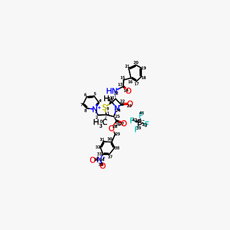 C[C@]1(C[n+]2ccccc2)S[C@@H]2[C@H](NC(=O)Cc3ccccc3)C(=O)N2[C@H]1C(=O)OCc1ccc([N+](=O)[O-])cc1.F[B-](F)(F)F